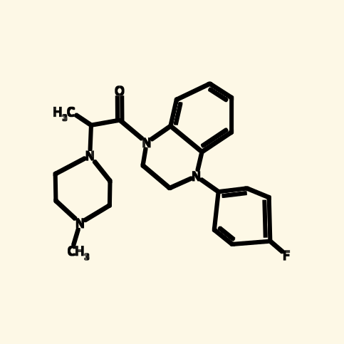 CC(C(=O)N1CCN(c2ccc(F)cc2)c2ccccc21)N1CCN(C)CC1